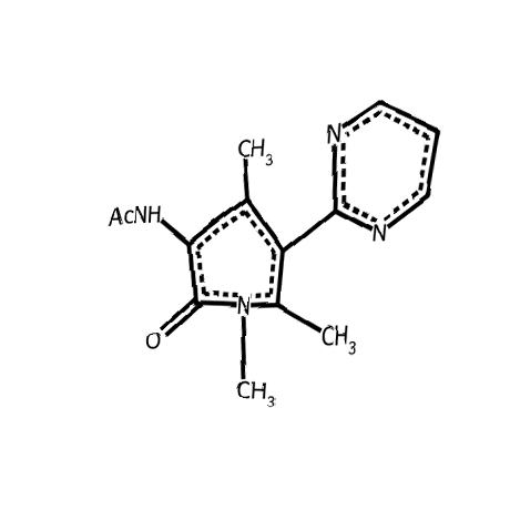 CC(=O)Nc1c(C)c(-c2ncccn2)c(C)n(C)c1=O